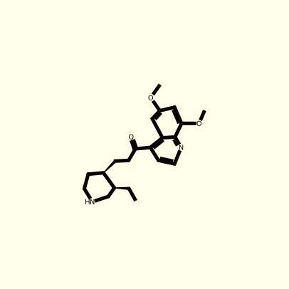 CC[C@H]1CNCC[C@H]1CCC(=O)c1ccnc2c(OC)cc(OC)cc12